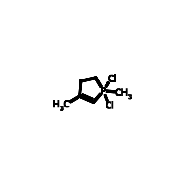 CC1=CP(C)(Cl)(Cl)CC1